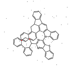 c1ccc2c(c1)CCC(c1nc(-n3c4ccccc4c4cc5c6c(c43)-c3ccc4ccccc4c3CC6c3ccccc3-5)c3sc4ccccc4c3n1)c1ccccc1-2